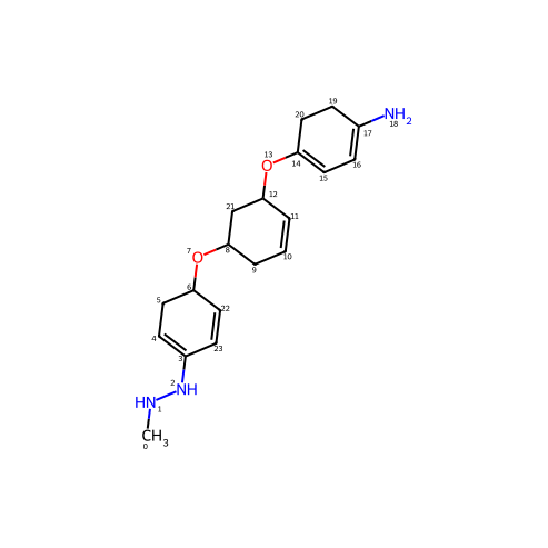 CNNC1=CCC(OC2CC=CC(OC3=CC=C(N)CC3)C2)C=C1